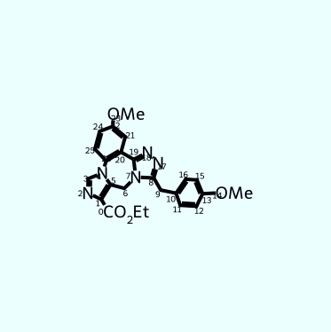 CCOC(=O)c1ncn2c1Cn1c(Cc3ccc(OC)cc3)nnc1-c1cc(OC)ccc1-2